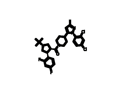 Cc1cc(C2CCN(C(=O)[C@@H]3CN(C(C)(C)C)C[C@H]3c3ccc(F)cc3F)CC2)n(-c2ccc(Cl)cc2Cl)n1